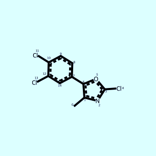 Cc1nc(Cl)oc1-c1ccc(Cl)c(Cl)c1